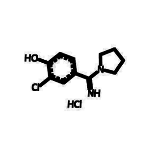 Cl.N=C(c1ccc(O)c(Cl)c1)N1CCCC1